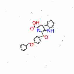 O=C(O)c1cc2c([nH]c3ccccc32)c(C(=O)c2ccc(OCc3ccccc3)cc2)n1